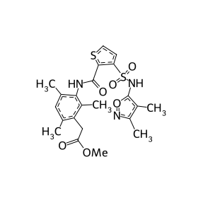 COC(=O)Cc1c(C)cc(C)c(NC(=O)c2sccc2S(=O)(=O)Nc2onc(C)c2C)c1C